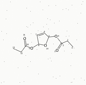 CCC(=O)OC1C=CC(OC(=O)CC)O1